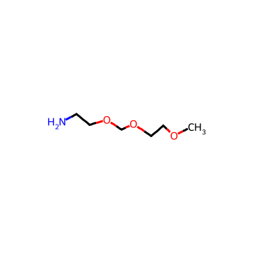 COCCOCOCCN